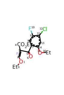 CCO/C=C(/C(=O)OCC)C(=O)c1cc(F)c(Cl)cc1OCC